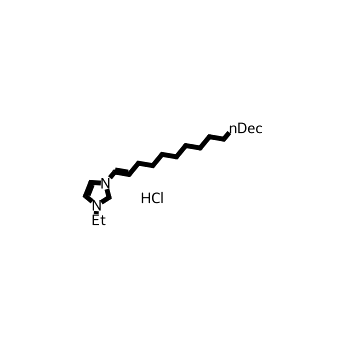 CCCCCCCCCCCCCCCCCCC=CN1C=CN(CC)C1.Cl